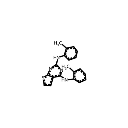 Cc1ccccc1Nc1nc(Nc2ccccc2C)c2ccsc2n1